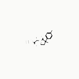 Cc1ccc(C2(C)CCN([C@H](C)C(=O)O)C2=O)cc1